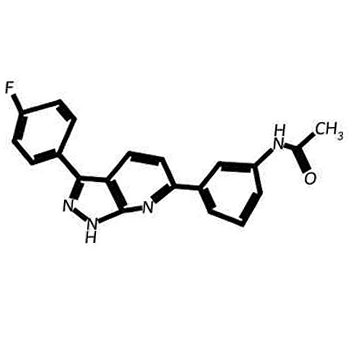 CC(=O)Nc1cccc(-c2ccc3c(-c4ccc(F)cc4)n[nH]c3n2)c1